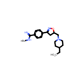 CCCCNC(=N)c1ccc(C2=NOC(CN3CCC(CC(=O)O)CC3)C2)cc1